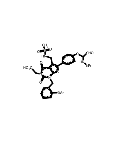 CCCNC(C=O)Oc1ccc(-c2sc3c(c2CNS(C)(=O)=O)c(=O)n(CC(=O)O)c(=O)n3Cc2ccccc2SC)cc1